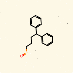 O=PCCCC(c1ccccc1)c1ccccc1